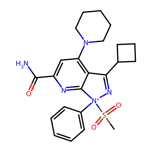 CS(=O)(=O)[N+]1(c2ccccc2)N=C(C2CCC2)c2c(N3CCCCC3)cc(C(N)=O)nc21